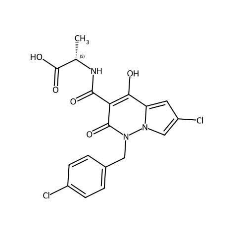 C[C@H](NC(=O)c1c(O)c2cc(Cl)cn2n(Cc2ccc(Cl)cc2)c1=O)C(=O)O